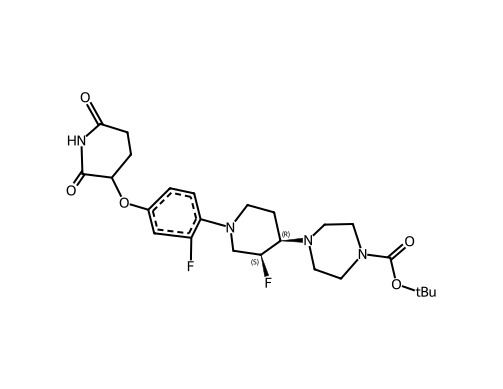 CC(C)(C)OC(=O)N1CCN([C@@H]2CCN(c3ccc(OC4CCC(=O)NC4=O)cc3F)C[C@@H]2F)CC1